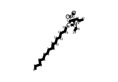 CCCCCCCCC=CCCCCCCCCC(CCC)(P(=O)=O)[N+](C)(C)CC